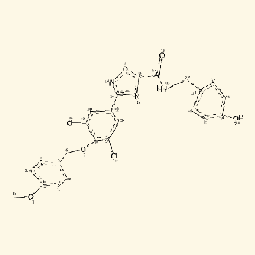 COc1ccc(COc2c(Cl)cc(-c3noc(C(=O)NCc4ccc(O)cc4)n3)cc2Cl)cc1